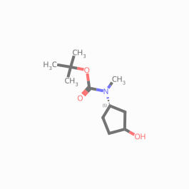 CN(C(=O)OC(C)(C)C)[C@H]1CCC(O)C1